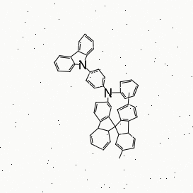 CC1=CC2C(C=C1)c1ccc(C)cc1C21c2cc(N(c3ccccc3)c3ccc(-n4c5ccccc5c5ccccc54)cc3)ccc2C2C=CC=CC21